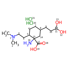 CN(C)CCC1CCC(CCB(O)O)CC1(N)C(=O)O.Cl.Cl